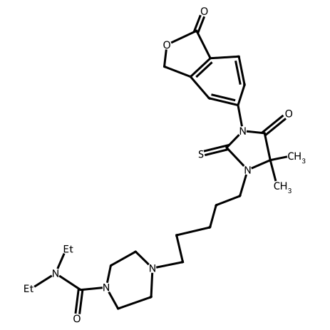 CCN(CC)C(=O)N1CCN(CCCCCN2C(=S)N(c3ccc4c(c3)COC4=O)C(=O)C2(C)C)CC1